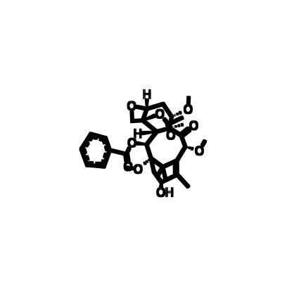 CO[C@H]1C(=O)[C@]2(C)[C@@H](OC)C[C@H]3OC[C@@]3(OC(C)=O)[C@H]2[C@H](OC(=O)c2ccccc2)[C@]2(OC)C[C@H](O)C(C)=C1C2(C)C